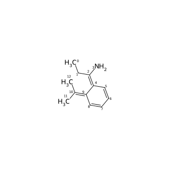 CC/C(N)=c1/ccccc1=C(C)C